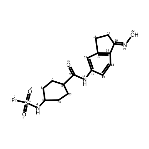 CC(C)S(=O)(=O)NC1CCC(C(=O)Nc2ccc3c(c2)CCC3=NO)CC1